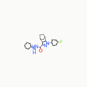 O=C(NNc1ccccc1)c1nn(-c2ccc(F)cc2)c2c1C1CCC2C1